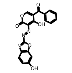 O=C(c1ccccc1)c1coc(=O)c(N=Nc2nc3ccc(O)cc3o2)c1O